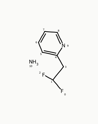 FC(F)Cc1ccccn1.N